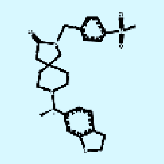 C[C@H](c1ccc2c(c1)OCC2)N1CCC2(CC1)CC(=O)N(Cc1ccc(S(C)(=O)=O)cc1)C2